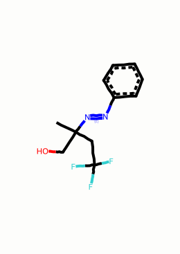 CC(CO)(CC(F)(F)F)/N=N/c1ccccc1